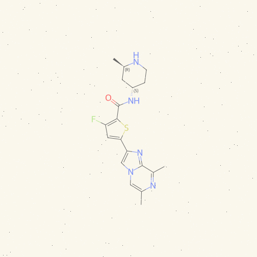 Cc1cn2cc(-c3cc(F)c(C(=O)N[C@H]4CCN[C@H](C)C4)s3)nc2c(C)n1